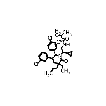 C=CCC1(CC)CC(c2cccc(Cl)c2)[C@@H](c2ccc(Cl)cc2)N(C(CNS(=O)(=O)C(C)C)C2CC2)C1=O